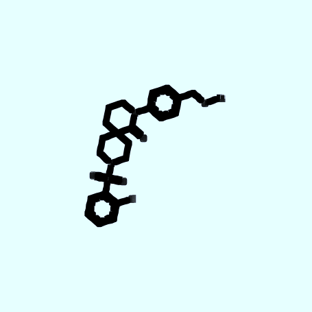 CCOCc1ccc(N2CCCC3(CCN(S(=O)(=O)c4ccccc4Cl)CC3)C2=O)cc1